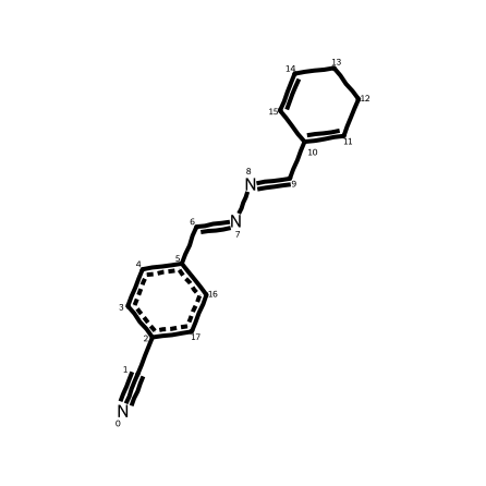 N#Cc1ccc(C=NN=CC2=CCCC=C2)cc1